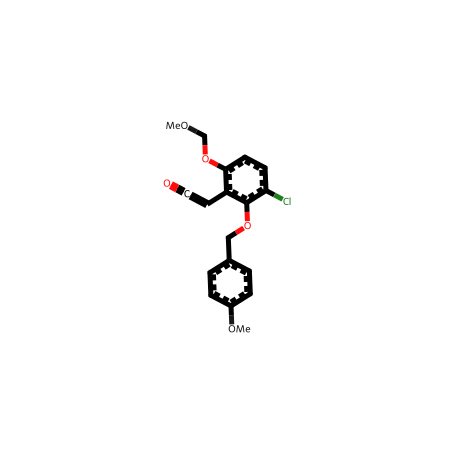 COCOc1ccc(Cl)c(OCc2ccc(OC)cc2)c1C=C=O